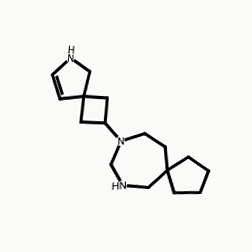 C1=CC2(CN1)CC(N1CCC3(CCCC3)CNC1)C2